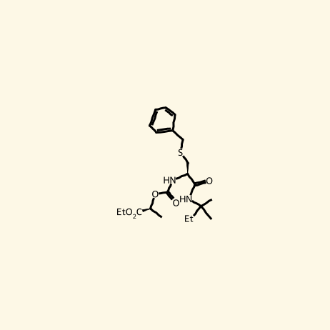 CCOC(=O)[C@H](C)OC(=O)N[C@@H](CSCc1ccccc1)C(=O)NC(C)(C)CC